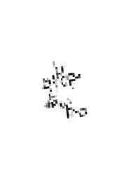 N[C@H](C(=O)Nc1cncc(F)c1CC[C@@H]1CNC[C@@H](COC(=O)NCCc2ccccc2)O1)C(c1ccc(F)cc1)c1ccc(F)cc1